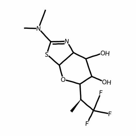 C[C@@H](C1OC2SC(N(C)C)=NC2C(O)C1O)C(F)(F)F